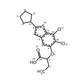 CCC(Oc1cc2cc(C3CCCC3)sc2c(Cl)c1Cl)C(=O)O